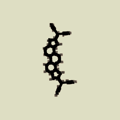 N#CC(C#N)=c1nc2ccc3c4ccc5nc(=C(C#N)C#N)sc5c4ccc3c2s1